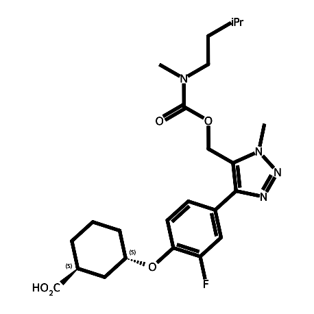 CC(C)CCN(C)C(=O)OCc1c(-c2ccc(O[C@H]3CCC[C@H](C(=O)O)C3)c(F)c2)nnn1C